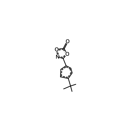 CC(C)(C)c1ccc(-c2noc(=O)o2)cc1